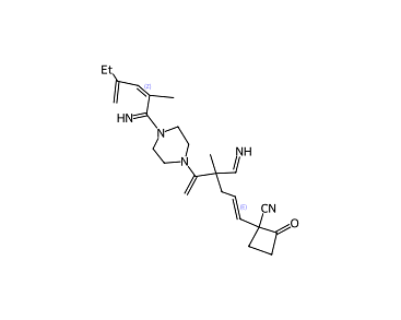 C=C(/C=C(/C)C(=N)N1CCN(C(=C)C(C)(C=N)C/C=C/C2(C#N)CCC2=O)CC1)CC